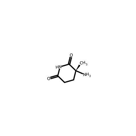 C[C@@]1(N)CCC(=O)NC1=O